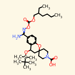 CCCCC(CC)COC(=O)O/N=C(/N)c1ccc2c(c1)C(O[Si](C)(C)C(C)(C)C)CC1(CCN(C(=O)O)CC1)O2